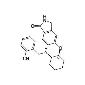 N#Cc1ccccc1CNC1CCCC[C@@H]1Oc1ccc2c(c1)CNC2=O